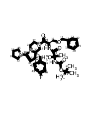 CC(C)(C)OC(=O)NC(C)(C)C(=O)N[C@H](COCc1ccccc1)C(=O)N1CCN2C(N3CCCC3)=CC(=O)[C@]2(Cc2ccc(F)cc2)C1